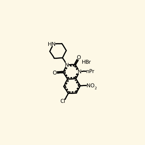 Br.CCCn1c(=O)n(C2CCNCC2)c(=O)c2cc(Cl)cc([N+](=O)[O-])c21